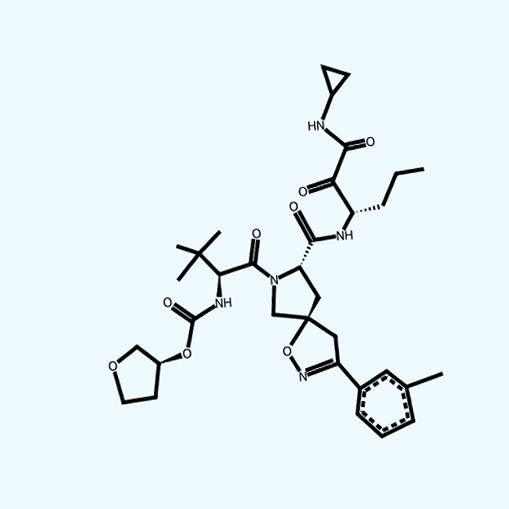 CCC[C@H](NC(=O)[C@@H]1C[C@]2(CC(c3cccc(C)c3)=NO2)CN1C(=O)[C@@H](NC(=O)O[C@H]1CCOC1)C(C)(C)C)C(=O)C(=O)NC1CC1